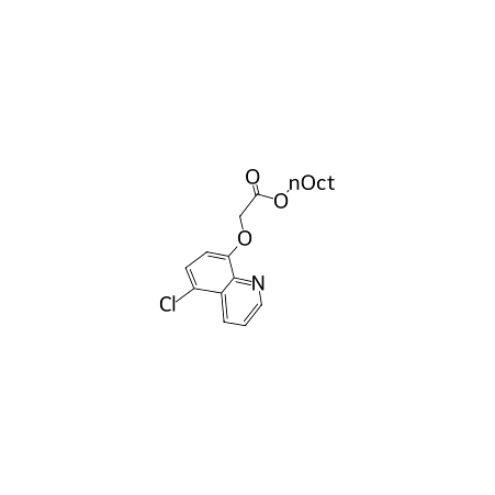 CCCCCCCCOC(=O)COc1ccc(Cl)c2cccnc12